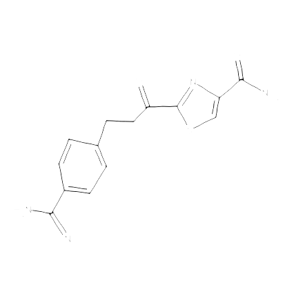 N=C(N)c1ccc(C[CH]C(=O)c2nc(C(N)=O)cs2)cc1